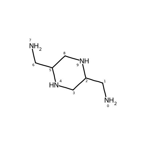 NCC1CNC(CN)CN1